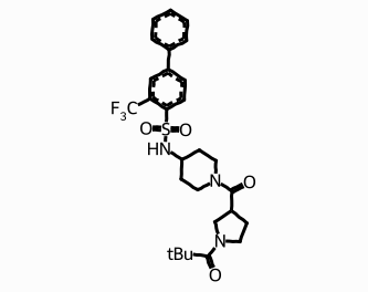 CC(C)(C)C(=O)N1CCC(C(=O)N2CCC(NS(=O)(=O)c3ccc(-c4ccccc4)cc3C(F)(F)F)CC2)C1